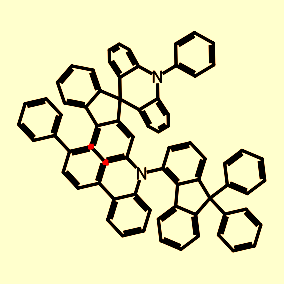 c1ccc(-c2ccc(-c3ccccc3N(c3ccc4c(c3)C3(c5ccccc5-4)c4ccccc4N(c4ccccc4)c4ccccc43)c3cccc4c3-c3ccccc3C4(c3ccccc3)c3ccccc3)cc2)cc1